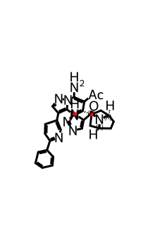 CC(=O)c1c([C@@H]2C[C@H]3CC[C@@H](C2)N3C(=O)c2cnn[nH]2)nc2c(-c3ccc(-c4ccccc4)nc3)cnn2c1N